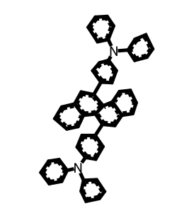 c1ccc(N(c2ccccc2)c2ccc(-c3cc4ccccc4c4c(-c5ccc(N(c6ccccc6)c6ccccc6)cc5)cc5ccccc5c34)cc2)cc1